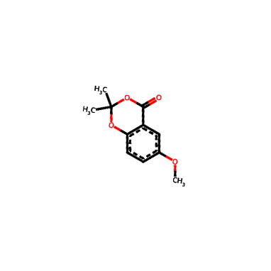 COc1ccc2c(c1)C(=O)OC(C)(C)O2